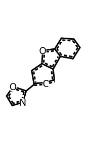 c1ccc2c(c1)oc1cc(-c3ncco3)ccc12